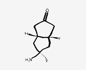 C[C@@]1(N)C[C@H]2CC(=O)C[C@H]2C1